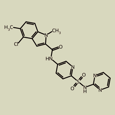 Cc1ccc2c(cc(C(=O)Nc3ccc(S(=O)(=O)Nc4ncccn4)nc3)n2C)c1Cl